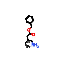 CC(C)C[C@H](CN)CC(=O)OCc1ccccc1